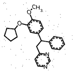 COc1ccc(C(Cc2ccncn2)c2ccccc2)cc1OC1CCCC1